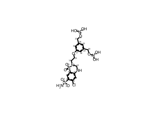 NS(=O)(=O)c1cc2c(cc1Cl)NCN(CCOc1cc(CON(O)O)cc(CON(O)O)c1)S2(=O)=O